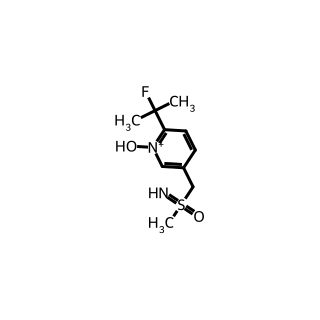 CC(C)(F)c1ccc(CS(C)(=N)=O)c[n+]1O